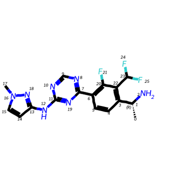 C[C@@H](N)c1ccc(-c2ncnc(Nc3ccn(C)n3)n2)c(F)c1C(F)F